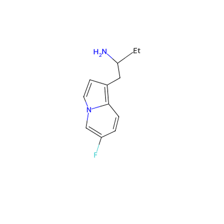 CCC(N)Cc1ccn2cc(F)ccc12